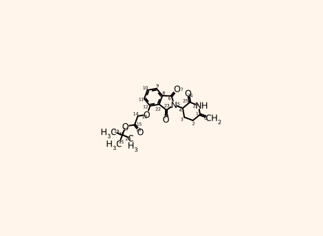 C=C1CCC(N2C(=O)c3cccc(OCC(=O)OC(C)(C)C)c3C2=O)C(=O)N1